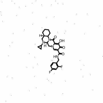 O=C(NCc1ccc(F)cc1F)c1cn2c(c(O)c1=O)C(=O)N1C3CCCC[C@H]3CN(C3CC3)[C@@H]1C2